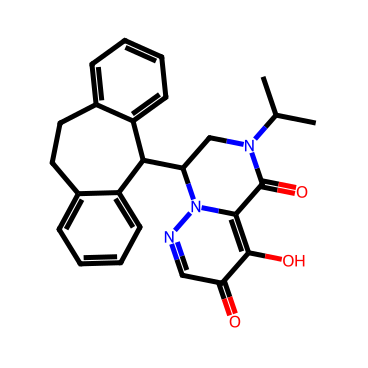 CC(C)N1CC(C2c3ccccc3CCc3ccccc32)n2ncc(=O)c(O)c2C1=O